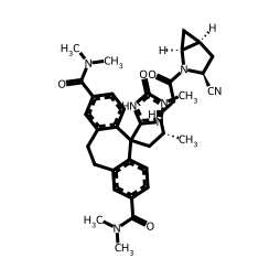 C[C@H](CC1(c2nn(C)c(=O)[nH]2)c2ccc(C(=O)N(C)C)cc2CCc2cc(C(=O)N(C)C)ccc21)NCC(=O)N1[C@H](C#N)C[C@@H]2C[C@@H]21